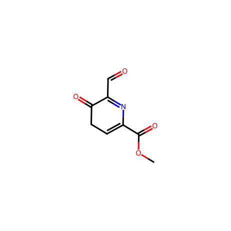 COC(=O)C1=CCC(=O)C(C=O)=N1